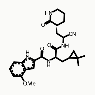 COc1cccc2[nH]c(C(=O)NC(CC3CC3(C)C)C(=O)NC(C#N)C[C@@H]3CCCNC3=O)cc12